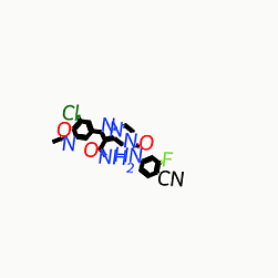 Cc1nc2cc(-c3nn4c(c3C(N)=O)CN(C(=O)Nc3ccc(C#N)c(F)c3)CC4)cc(Cl)c2o1